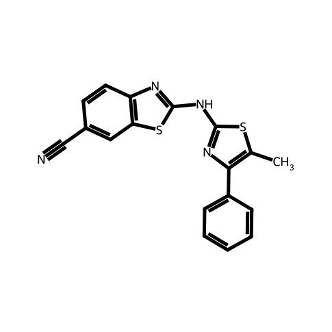 Cc1sc(Nc2nc3ccc(C#N)cc3s2)nc1-c1ccccc1